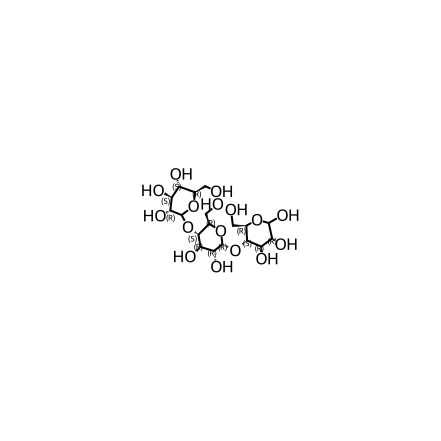 OC[C@H]1OC(O[C@H]2[C@H](O)[C@@H](O)[C@@H](O[C@H]3[C@H](O)[C@@H](O)C(O)O[C@@H]3CO)O[C@@H]2CO)[C@H](O)[C@@H](O)[C@@H]1O